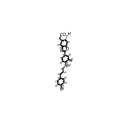 O=C(O)Cc1ccc2oc(-c3ccc(NCC=Cc4ccc(Br)cc4)c(F)c3)nc2c1